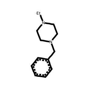 C[CH]N1CCN(Cc2ccccc2)CC1